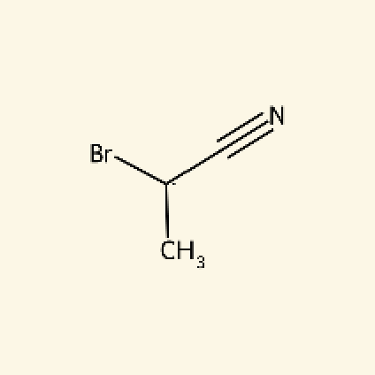 C[C](Br)C#N